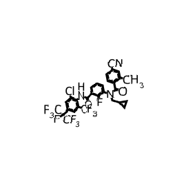 Cc1cc(C#N)ccc1C(=O)N(CC1CC1)c1cccc(C(=O)Nc2c(Cl)cc(C(F)(C(F)(F)F)C(F)(F)F)cc2C(F)(F)F)c1F